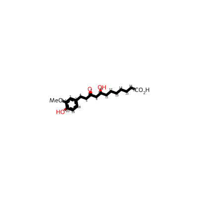 COc1cc(CCC(=O)CC(O)CCCCCCC(=O)O)ccc1O